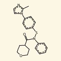 Cc1nccn1-c1ccc(SN(C(=O)C2CCOCC2)c2ccccc2)cc1